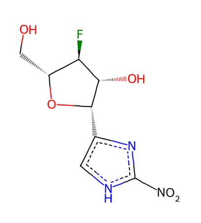 O=[N+]([O-])c1nc([C@@H]2O[C@H](CO)[C@@H](F)[C@@H]2O)c[nH]1